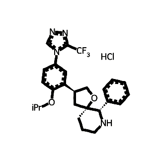 CC(C)Oc1ccc(-n2cnnc2C(F)(F)F)cc1[C@H]1CO[C@]2(CCCN[C@H]2c2ccccc2)C1.Cl